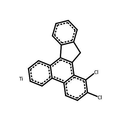 Clc1ccc2c(c1Cl)c1c(c3ccccc32)-c2ccccc2C1.[Ti]